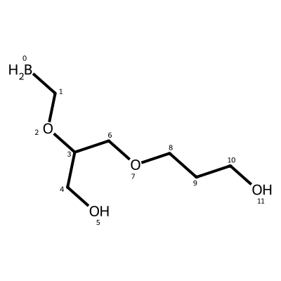 BCOC(CO)COCCCO